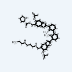 CCCNCCCNCc1cc2nc(-c3cccc(-c4cccc(-c5nc6cc(COC(=O)[C@@H]7CCCN7)c(OC(F)F)cc6o5)c4C)c3C)oc2cc1OC(F)F